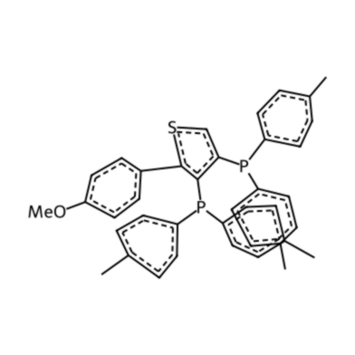 COc1ccc(-c2scc(P(c3ccc(C)cc3)c3ccc(C)cc3)c2P(c2ccc(C)cc2)c2ccc(C)cc2)cc1